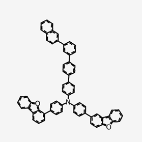 c1cc(-c2ccc(-c3ccc(N(c4ccc(-c5ccc6oc7ccccc7c6c5)cc4)c4ccc(-c5cccc6c5oc5ccccc56)cc4)cc3)cc2)cc(-c2ccc3ccccc3c2)c1